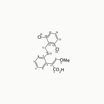 COC=C(C(=O)O)c1ccccc1SCc1c(Cl)cccc1Cl